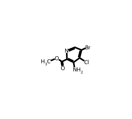 COC(=O)c1ncc(Br)c(Cl)c1N